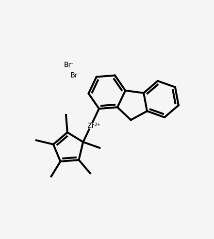 CC1=C(C)[C](C)([Zr+2][c]2cccc3c2Cc2ccccc2-3)C(C)=C1C.[Br-].[Br-]